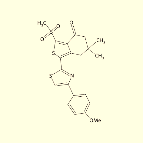 COc1ccc(-c2csc(-c3sc(S(C)(=O)=O)c4c3CC(C)(C)CC4=O)n2)cc1